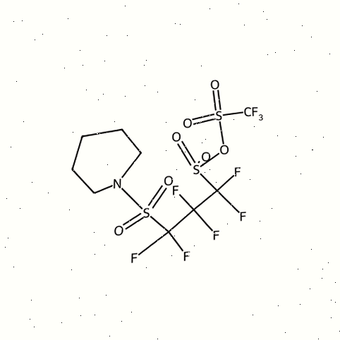 O=S(=O)(OS(=O)(=O)C(F)(F)C(F)(F)C(F)(F)S(=O)(=O)N1CCCCC1)C(F)(F)F